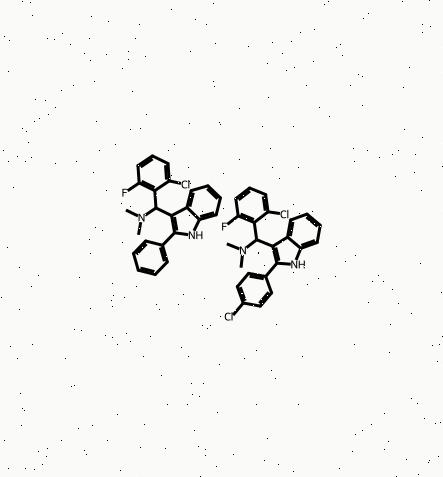 CN(C)C(c1c(F)cccc1Cl)c1c(-c2ccc(Cl)cc2)[nH]c2ccccc12.CN(C)C(c1c(F)cccc1Cl)c1c(-c2ccccc2)[nH]c2ccccc12